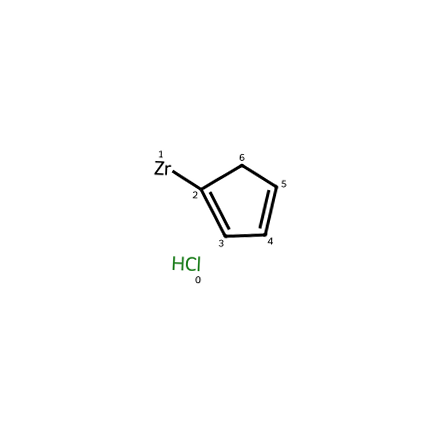 Cl.[Zr][C]1=CC=CC1